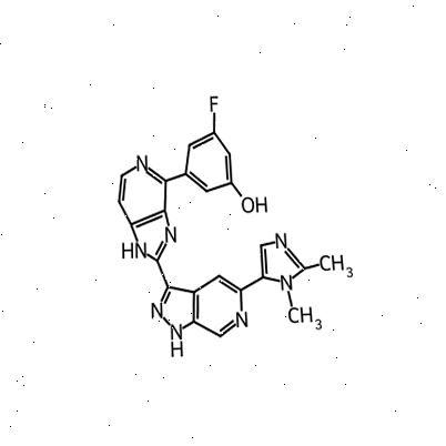 Cc1ncc(-c2cc3c(-c4nc5c(-c6cc(O)cc(F)c6)nccc5[nH]4)n[nH]c3cn2)n1C